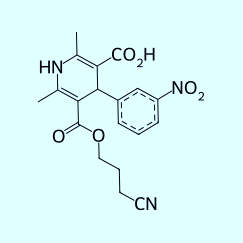 CC1=C(C(=O)O)C(c2cccc([N+](=O)[O-])c2)C(C(=O)OCCCC#N)=C(C)N1